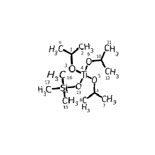 CC(C)[O][Ti]([O]C(C)C)([O]C(C)C)[O][Si](C)(C)C